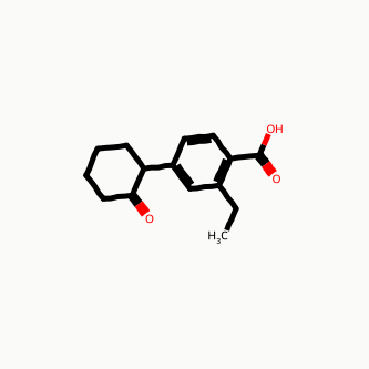 CCc1cc(C2CCCCC2=O)ccc1C(=O)O